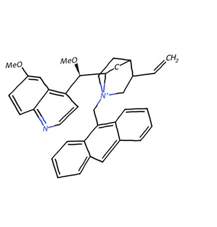 C=CC1C[N+]2(Cc3c4ccccc4cc4ccccc34)CCC1CC2[C@H](OC)c1ccnc2ccc(OC)cc12